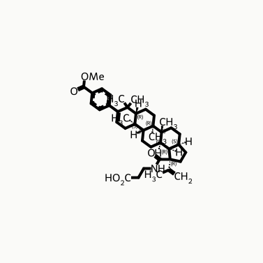 C=C(C)[C@@]1(C(=O)NCCC(=O)O)CC[C@@H]2CC[C@]3(C)[C@H](CC[C@@H]4[C@@]5(C)CC=C(c6ccc(C(=O)OC)cc6)C(C)(C)[C@@H]5CC[C@]43C)[C@@H]21